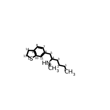 CCCCC(Cc1ccc2c(c1)SCC2)NC